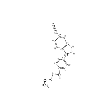 COCCOc1ccc(-n2ccc3cc(C#N)ccc32)cc1